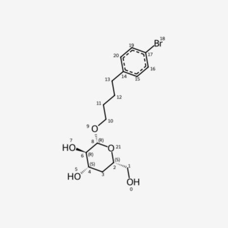 OC[C@@H]1C[C@H](O)[C@@H](O)[C@H](OCCCCc2ccc(Br)cc2)O1